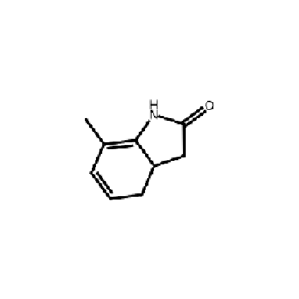 CC1=C2NC(=O)CC2CC=C1